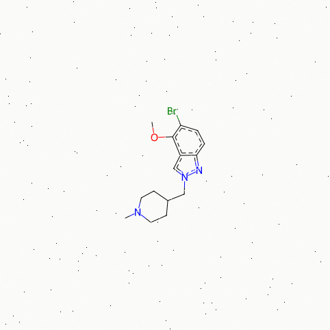 COc1c(Br)ccc2nn(CC3CCN(C)CC3)cc12